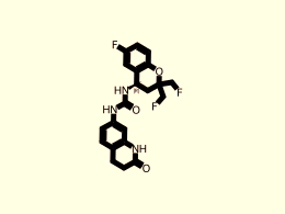 O=C1CCc2ccc(NC(=O)N[C@@H]3CC(CF)(CF)Oc4ccc(F)cc43)cc2N1